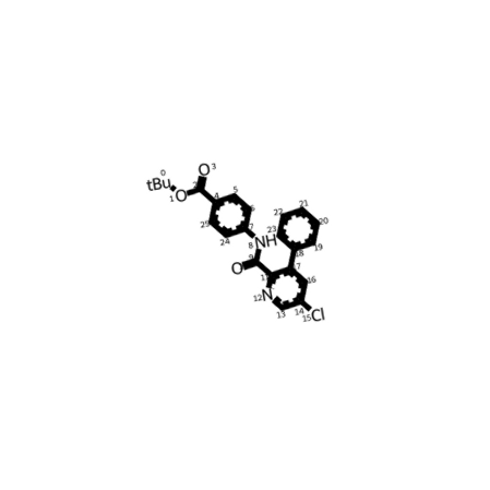 CC(C)(C)OC(=O)c1ccc(NC(=O)c2ncc(Cl)cc2-c2ccccc2)cc1